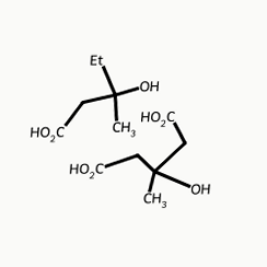 CC(O)(CC(=O)O)CC(=O)O.CCC(C)(O)CC(=O)O